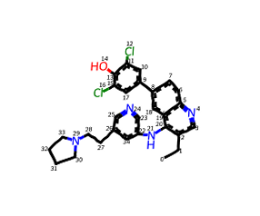 CCc1cnc2ccc(-c3cc(Cl)c(O)c(Cl)c3)cc2c1Nc1cncc(CCN2CCCC2)c1